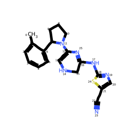 Cc1ccccc1C1CCCN1C1=CNCC(Nc2ncc(C#N)s2)=N1